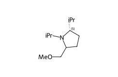 COCC1CC[C@@H](C(C)C)N1C(C)C